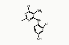 Cc1nc(Cl)c(N)c(Nc2ccc(O)cc2Cl)n1